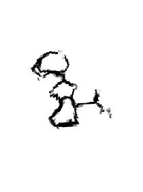 NC(=O)c1cccc2oc(C34COC(CN3)C4)nc12